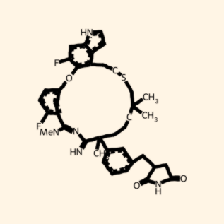 CN/C1=N\C(=N)C(C)(c2cccc(CC3CC(=O)NC3=O)c2)CCCC(C)(C)CSCCc2c(c(F)cc3[nH]ccc23)Oc2ccc(F)c1c2